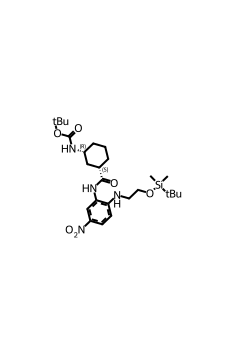 CC(C)(C)OC(=O)N[C@@H]1CCC[C@H](C(=O)Nc2cc([N+](=O)[O-])ccc2NCCO[Si](C)(C)C(C)(C)C)C1